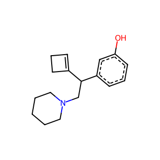 Oc1cccc(C(CN2CCCCC2)C2=CCC2)c1